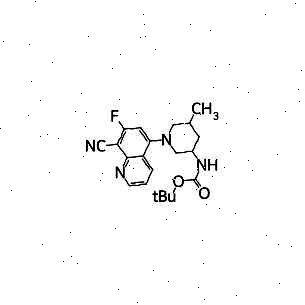 CC1CC(NC(=O)OC(C)(C)C)CN(c2cc(F)c(C#N)c3ncccc23)C1